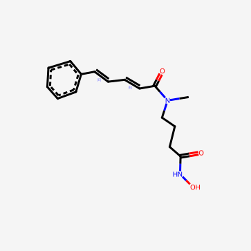 CN(CCCC(=O)NO)C(=O)/C=C/C=C/c1ccccc1